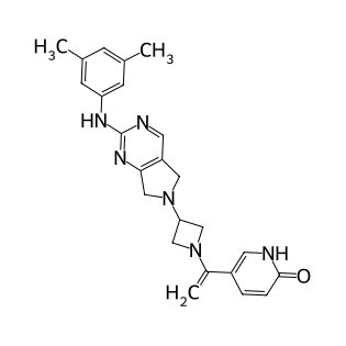 C=C(c1ccc(=O)[nH]c1)N1CC(N2Cc3cnc(Nc4cc(C)cc(C)c4)nc3C2)C1